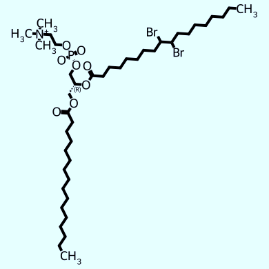 CCCCCCCCCCCCCCCC(=O)OC[C@H](COP(=O)([O-])OCC[N+](C)(C)C)OC(=O)CCCCCCCC(Br)C(Br)CCCCCCCC